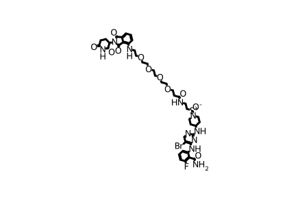 NC(=O)c1c(F)cccc1Nc1nc(NC2CCN([S+]([O-])CCNC(=O)CCOCCOCCOCCOCCNc3cccc4c3C(=O)N(C3CCC(=O)NC3=O)C4=O)CC2)ncc1Br